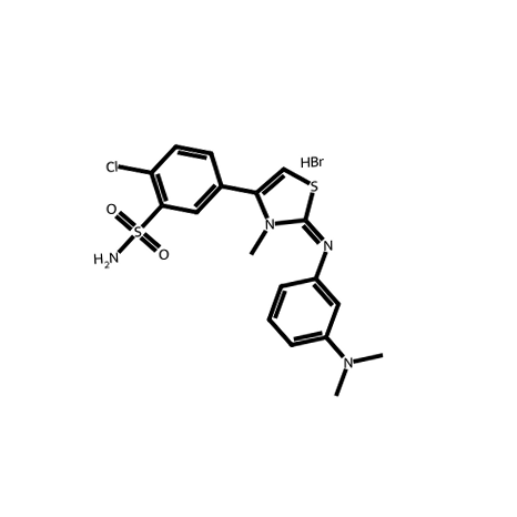 Br.CN(C)c1cccc(/N=c2/scc(-c3ccc(Cl)c(S(N)(=O)=O)c3)n2C)c1